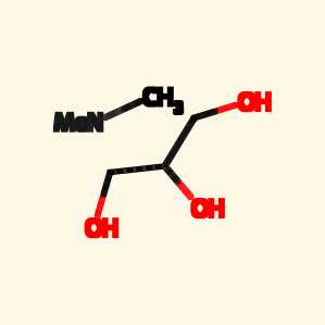 CNC.OCC(O)CO